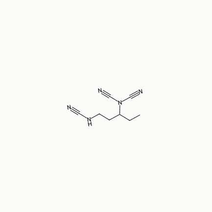 CCC(CCNC#N)N(C#N)C#N